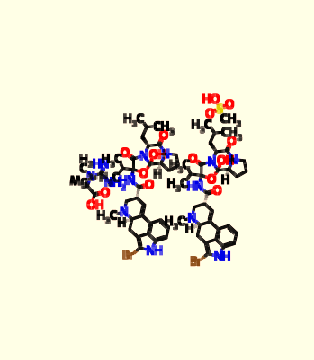 CC(C)C[C@H]1C(=O)N2CCC[C@H]2[C@]2(O)O[C@](NC(=O)[C@@H]3C=C4c5cccc6[nH]c(Br)c(c56)C[C@H]4N(C)C3)(C(C)C)C(=O)N12.CC(C)C[C@H]1C(=O)N2CCC[C@H]2[C@]2(O)O[C@](NC(=O)[C@@H]3C=C4c5cccc6[nH]c(Br)c(c56)C[C@H]4N(C)C3)(C(C)C)C(=O)N12.CN(CC(=O)O)C(=N)N.CS(=O)(=O)O.[Mg+2]